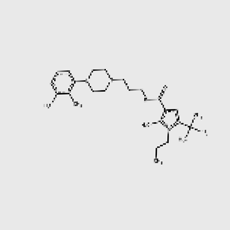 CCCn1c(C(C)(C)C)cc(C(=O)NCCCN2CCN(c3cccc(C)c3C)CC2)c1C